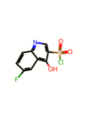 O=S(=O)(Cl)c1cnc2ccc(F)cc2c1O